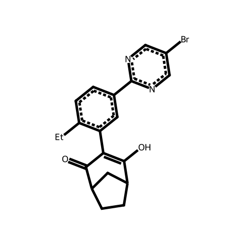 CCc1ccc(-c2ncc(Br)cn2)cc1C1=C(O)C2CCC(C2)C1=O